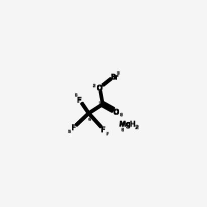 O=C(OBr)C(F)(F)F.[MgH2]